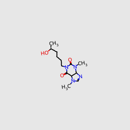 C[C@H](O)CCCCN1C(=O)C2C(N=CN2C)N(C)C1=O